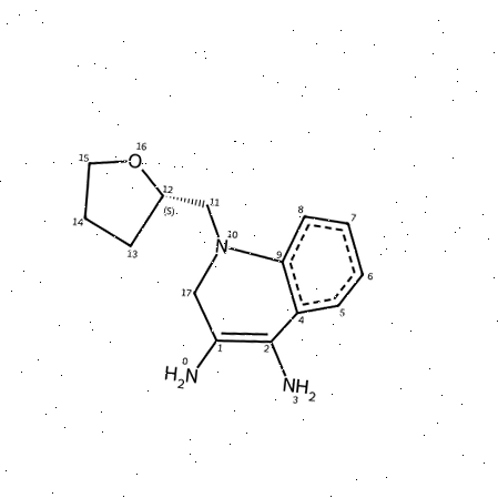 NC1=C(N)c2ccccc2N(C[C@@H]2CCCO2)C1